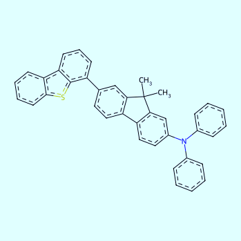 CC1(C)c2cc(-c3cccc4c3sc3ccccc34)ccc2-c2ccc(N(c3ccccc3)c3ccccc3)cc21